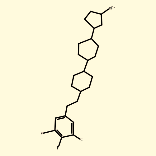 CCCC1CCC(C2CCC(C3CCC(CCc4cc(F)c(F)c(F)c4)CC3)CC2)C1